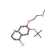 COCCOc1cc2nccc(Cl)c2cc1SC(C)(C)C